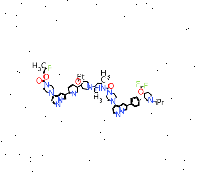 CCOC1(C2C=CC(c3cc4c(N5CCN(C(=O)OC[C@@H](C)F)CC5)ccnn4c3)=NC2)CCN(C(C)CC(C)NC(=O)N2CCN(c3ccnn4cc(-c5ccc([C@H]6CN(C(C)C)CC[C@@H]6OC(F)F)cc5)cc34)CC2)CC1